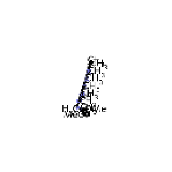 COc1c(C)c(C/C=C(\C)CC/C=C(\C)CC(S)/C=C(\C)CC/C=C(\C)CC/C=C(\C)CC/C=C(\C)CCC=C(C)C)c(OC)c2ccccc12